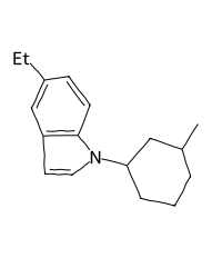 CCc1ccc2c(ccn2C2CCCC(C)C2)c1